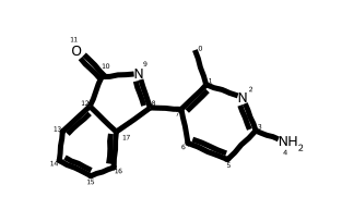 Cc1nc(N)ccc1C1=NC(=O)c2ccccc21